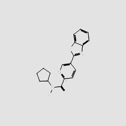 CN(C(=O)c1ccc(-c2nc3ccccc3o2)cn1)C1CCCC1